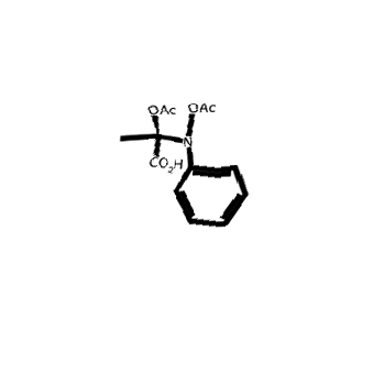 CC(=O)ON(c1ccccc1)[C@](C)(OC(C)=O)C(=O)O